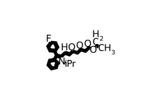 C=C(C)OC(=O)CC(=O)CC(O)/C=C/c1c(-c2ccc(F)cc2)c2ccccc2n1C(C)C